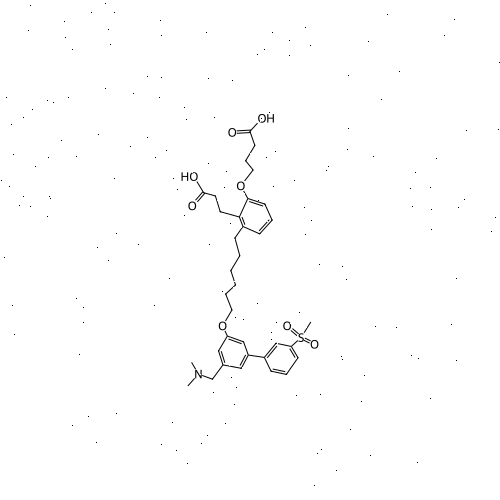 CN(C)Cc1cc(OCCCCCCc2cccc(OCCCC(=O)O)c2CCC(=O)O)cc(-c2cccc(S(C)(=O)=O)c2)c1